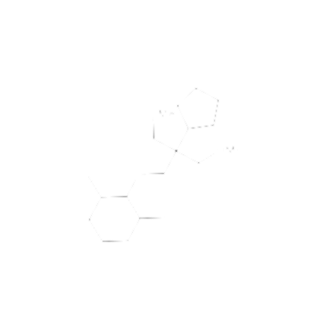 COCC(COC)(COC1C(C)CCCC1C)C1CCCC1